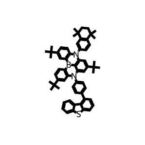 CC(C)(C)c1ccc2c(c1)B1c3ccc(C(C)(C)C)cc3N(c3ccc(-c4cccc5sc6ccccc6c45)cc3)c3cc(C(C)(C)C)cc(c31)N2c1ccc2c(c1)C(C)(C)CCC2(C)C